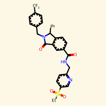 CCS(=O)(=O)c1ccc(CNC(=O)c2ccc3c(c2)C(=O)N(Cc2ccc(C(F)(F)F)cc2)C3C(C)C)nc1